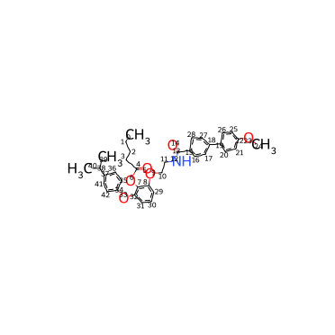 CCCCC(=O)Oc1c(OCCNC(=O)c2ccc(-c3ccc(OC)cc3)cc2)cccc1Oc1ccc(C(C)C)cc1